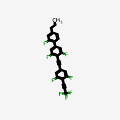 CCCc1ccc(-c2cc(F)c(C#Cc3cc(F)c(C#CC(F)(F)F)c(F)c3)c(F)c2)c(F)c1